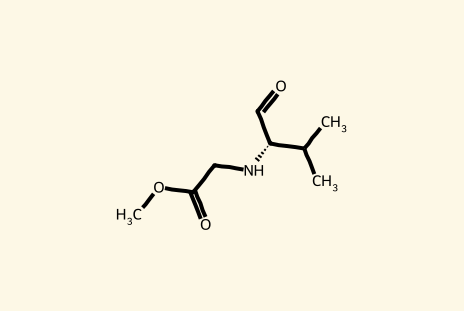 COC(=O)CN[C@H](C=O)C(C)C